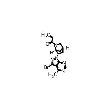 C=CC(=O)N1C[C@H]2C[C@@H](n3nc(Br)c4c(C)ncnc43)[C@@H]1C2